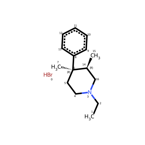 Br.CCN1CC[C@@](C)(c2ccccc2)[C@@H](C)C1